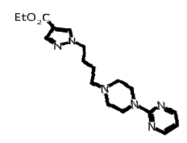 CCOC(=O)c1cnn(CCCCN2CCN(c3ncccn3)CC2)c1